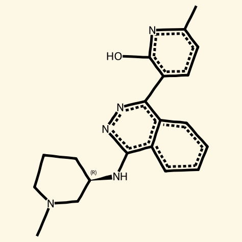 Cc1ccc(-c2nnc(N[C@@H]3CCCN(C)C3)c3ccccc23)c(O)n1